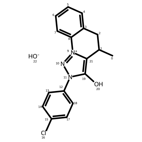 CC1Cc2ccccc2-[n+]2nn(-c3ccc(Cl)cc3)c(O)c21.[OH-]